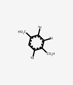 [2H]c1cc(C(=O)O)c([2H])c([2H])c1C(=O)O